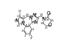 Cc1ccc2c(c1)-c1nc(CN3CCOCC3=O)nn1Cc1c(C)ncn1-2